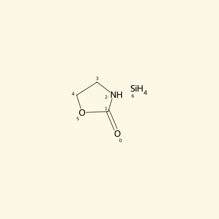 O=C1NCCO1.[SiH4]